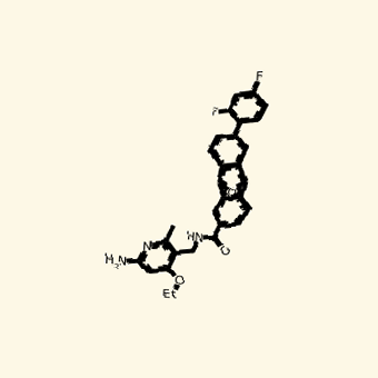 CCOc1cc(N)nc(C)c1CNC(=O)c1ccc2c(c1)c1oc2c2cc(-c3ccc(F)cc3F)ccc21